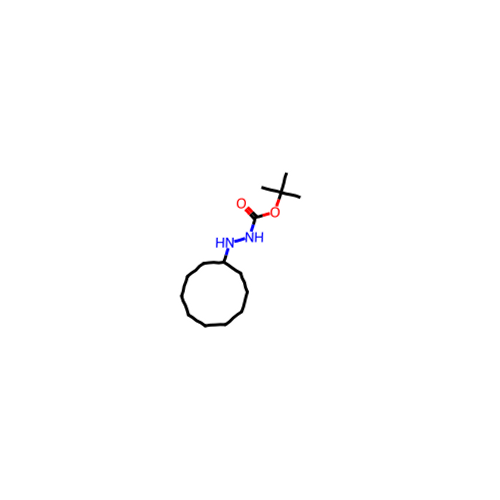 CC(C)(C)OC(=O)NNC1CCCCCCCCC1